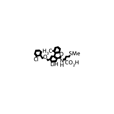 CSCC[C@H](NC(=O)c1ccc(COCc2ccccc2Cl)cc1-c1ccccc1C)C(=O)O.[LiH]